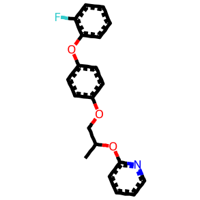 CC(COc1ccc(Oc2ccccc2F)cc1)Oc1ccccn1